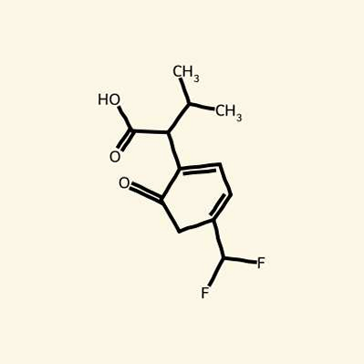 CC(C)C(C(=O)O)C1=CC=C(C(F)F)CC1=O